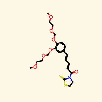 COCCOCOc1ccc(/C=C/C=C/C(=O)N2CCSC2=S)cc1OCOCCOC